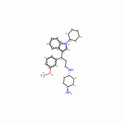 N[C@H]1CC[C@H](NCCC(c2cccc(OC(F)(F)F)c2)c2cn(C3CCCCC3)c3ccccc23)CC1